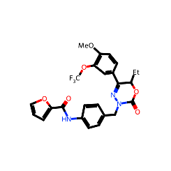 CCC1OC(=O)N(Cc2ccc(NC(=O)c3ccco3)cc2)N=C1c1ccc(OC)c(OC(F)(F)F)c1